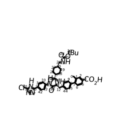 Cc1cc(C(=O)O)ccc1-c1ccc(C[C@H](NC(=O)[C@H]2CC[C@H](CNC(=O)OC(C)(C)C)CC2)C(=O)Nc2ccc(-c3nnc(Cl)[nH]3)cc2)cc1